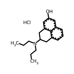 CCCN(CCC)C1Cc2cccc3cc(O)cc(c23)C1.Cl